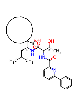 CC(C)C[C@H](NC(=O)C(NC(=O)c1cccc(-c2ccccc2)n1)[C@@H](C)O)C1(B(O)O)CCCCCCCCCCCC1